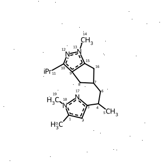 Cc1cc(C(C)CC2Cc3c(C(C)C)nn(C)c3C2)nn1C